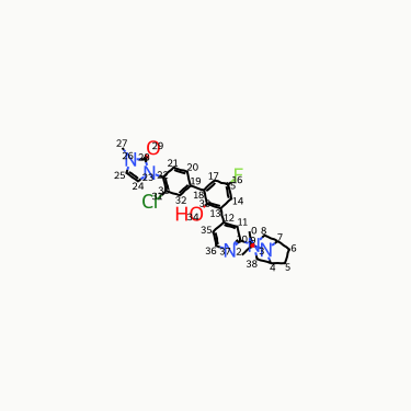 CC(C)N1C2CCC1CN(c1cc(-c3cc(F)cc(-c4ccc(-n5ccn(C)c5=O)c(Cl)c4)c3O)ccn1)C2